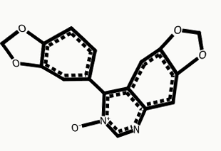 [O-][n+]1cnc2cc3c(cc2c1-c1ccc2c(c1)OCO2)OCO3